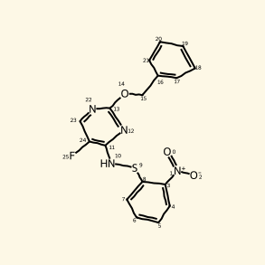 O=[N+]([O-])c1ccccc1SNc1nc(OCc2ccccc2)ncc1F